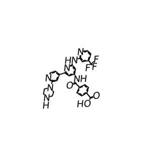 O=C(O)c1ccc(C(=O)Nc2cc(Nc3cc(C(F)(F)F)ccn3)nc(-c3ccnc(N4CCNCC4)c3)c2)cc1